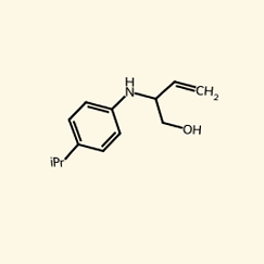 C=CC(CO)Nc1ccc(C(C)C)cc1